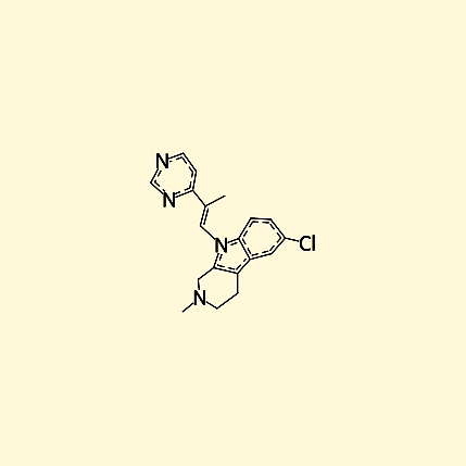 CC(=Cn1c2c(c3cc(Cl)ccc31)CCN(C)C2)c1ccncn1